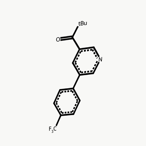 CC(C)(C)C(=O)c1cncc(-c2ccc(C(F)(F)F)cc2)c1